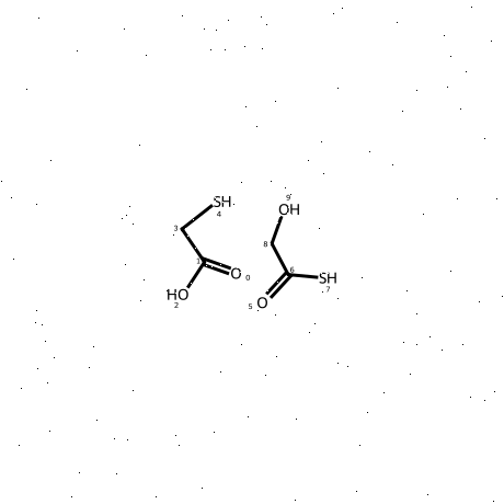 O=C(O)CS.O=C(S)CO